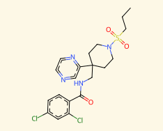 CCCS(=O)(=O)N1CCC(CNC(=O)c2ccc(Cl)cc2Cl)(c2cnccn2)CC1